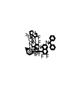 [2H]C([2H])(Oc1nc(N2CCCCC3CC32)c2c(n1)=C(F)N(c1cc(N=C(c3ccccc3)c3ccccc3)cc3cc(F)c(F)c(C#C[Si](C(C)C)(C(C)C)C(C)C)c13)CC=2)[C@@]12CCCN1C[C@H](F)C2